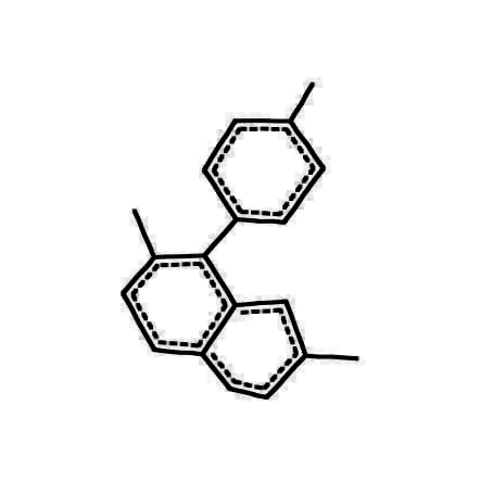 Cc1ccc(-c2c(C)ccc3ccc(C)cc23)cc1